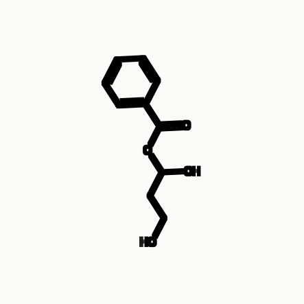 O=C(OC(O)CCO)c1ccccc1